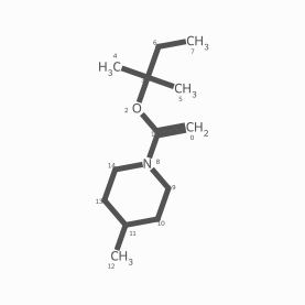 C=C(OC(C)(C)CC)N1CCC(C)CC1